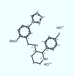 COc1ccc(-n2cnnn2)cc1CNC1CCCNC1c1ccc(C)cc1.Cl.Cl